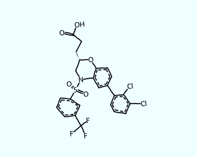 O=C(O)CC[C@H]1CN(S(=O)(=O)c2cccc(C(F)(F)F)c2)c2cc(-c3cccc(Cl)c3Cl)ccc2O1